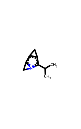 CC(C)c1c2c(c3n1C3)C2